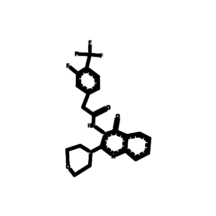 O=C(Cc1ccc(C(F)(F)F)c(F)c1)Nn1c(N2CCOCC2)nc2ccccc2c1=O